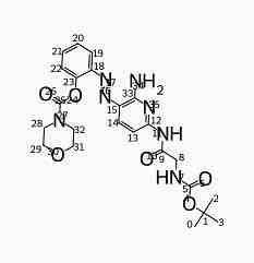 CC(C)(C)OC(=O)NCC(=O)Nc1ccc(N=Nc2ccccc2OC(=O)N2CCOCC2)c(N)n1